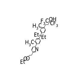 CCOOCCc1ccc(-c2ccc(C(CC)(CC)c3ccc(CCC(O)(C(F)(F)F)C(F)(F)F)c(C)c3)cc2C)nc1